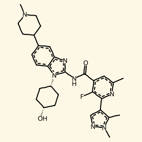 Cc1cc(C(=O)Nc2nc3cc(C4CCN(C)CC4)ccc3n2[C@H]2CC[C@@H](O)CC2)c(F)c(-c2cnn(C)c2C)n1